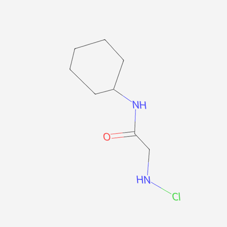 O=C(CNCl)NC1CCCCC1